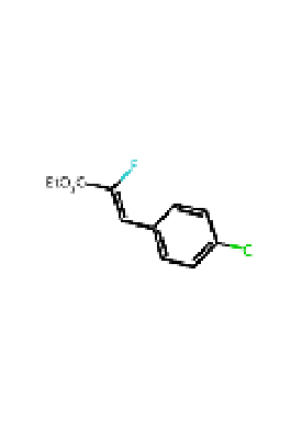 CCOC(=O)C(F)=Cc1ccc(Cl)cc1